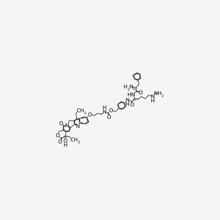 CCc1c2c(nc3ccc(OCCCNC(=O)OCc4ccc(NC(=O)[C@H](CCCCNN)NC(=O)[C@@H](N)Cc5ccccc5)cc4)cc13)-c1cc3c(c(=O)n1C2)COC(=O)[C@]3(O)CC